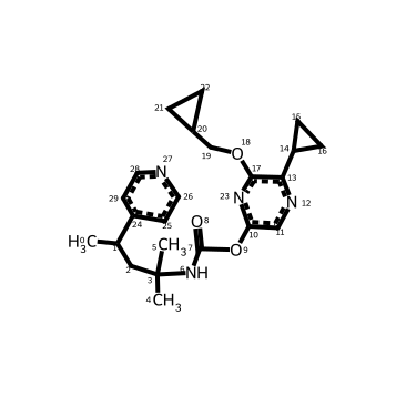 CC(CC(C)(C)NC(=O)Oc1cnc(C2CC2)c(OCC2CC2)n1)c1ccncc1